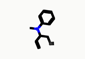 C=CC(CC#N)N(C)c1ccccc1